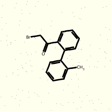 Cc1ccccc1-c1ccccc1C(=O)CBr